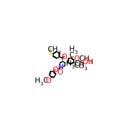 COc1ccc(OC(=O)N2C[C@@H](C(=O)c3ccc(SC)cc3)[C@H](c3cc(C)c(OC(C)(C)C(=O)O)c(C)c3)C2)cc1